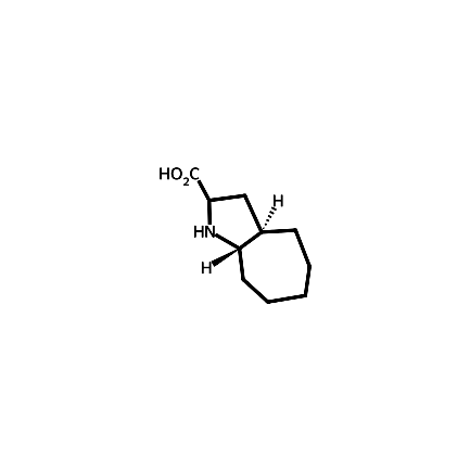 O=C(O)C1C[C@H]2CCCCC[C@@H]2N1